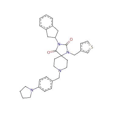 O=C1N(C2Cc3ccccc3C2)C(=O)C2(CCN(Cc3ccc(N4CCCC4)cc3)CC2)N1Cc1ccsc1